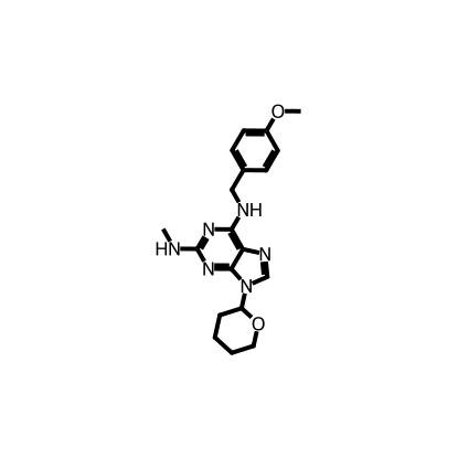 CNc1nc(NCc2ccc(OC)cc2)c2ncn(C3CCCCO3)c2n1